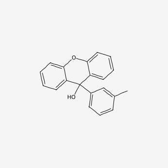 Cc1cccc(C2(O)c3ccccc3Oc3ccccc32)c1